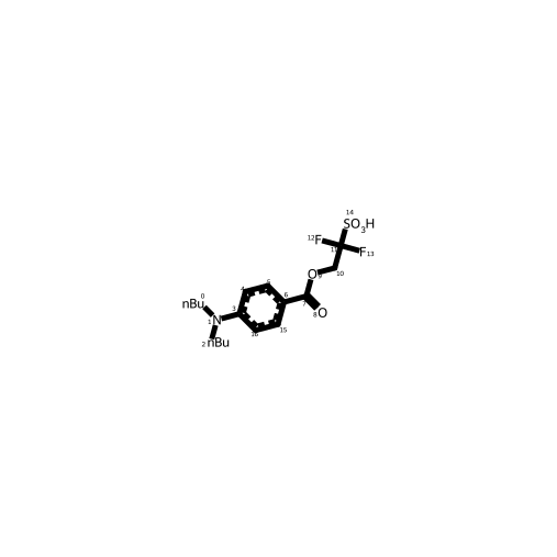 CCCCN(CCCC)c1ccc(C(=O)OCC(F)(F)S(=O)(=O)O)cc1